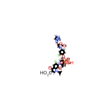 O=C(O)c1cn(C2CC2)c2c3c(c(F)cc2c1=O)N1C[C@](COc2ccc(N4C[C@H](Cn5ccnn5)OC4=O)cc2F)(OP(=O)(O)O)C[C@H]1CO3